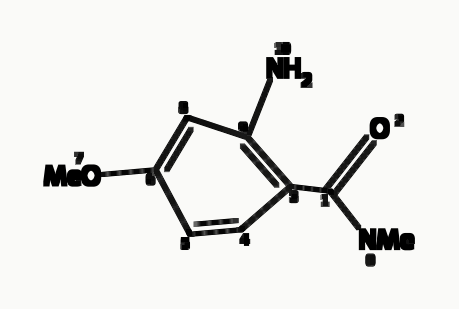 CNC(=O)c1ccc(OC)cc1N